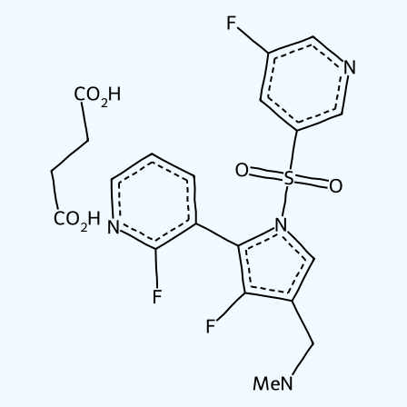 CNCc1cn(S(=O)(=O)c2cncc(F)c2)c(-c2cccnc2F)c1F.O=C(O)CCC(=O)O